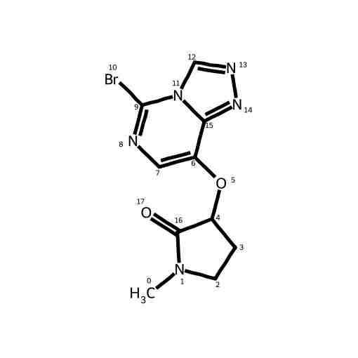 CN1CCC(Oc2cnc(Br)n3cnnc23)C1=O